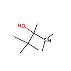 C[SiH](C)C(C)(O)C(C)(C)C